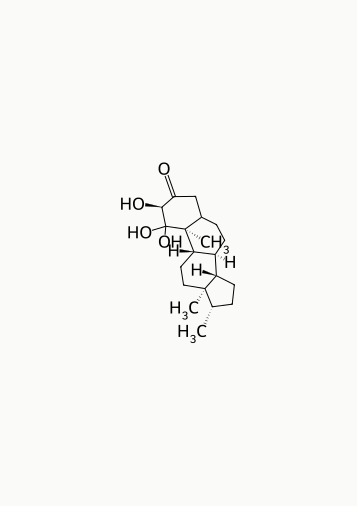 C[C@H]1CC[C@H]2[C@@H]3CCC4CC(=O)[C@H](O)C(O)(O)[C@]4(C)[C@H]3CC[C@]12C